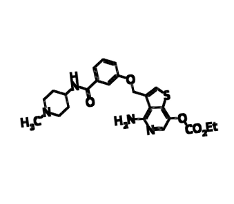 CCOC(=O)Oc1cnc(N)c2c(COc3cccc(C(=O)NC4CCN(C)CC4)c3)csc12